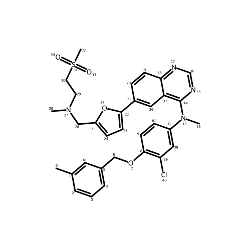 Cc1cccc(COc2ccc(N(C)c3ncnc4ccc(-c5ccc(CN(C)CCS(C)(=O)=O)o5)cc34)cc2Cl)c1